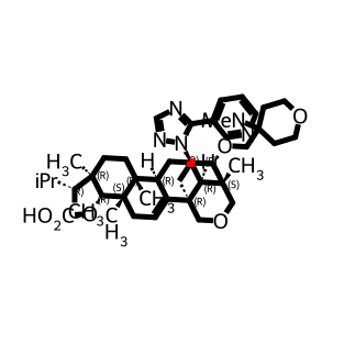 CNC1(CO[C@H]2[C@H](n3ncnc3-c3cccnc3)C[C@@]34COC[C@]2(C)[C@@H]3CC[C@H]2C4=CC[C@]3(C)[C@H](OC(=O)O)[C@@](C)([C@H](C)C(C)C)CC[C@]23C)CCOCC1